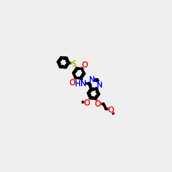 COCCOc1cc2ncnc(NC3=CC(=O)C(Sc4ccccc4)=CC3=O)c2cc1OC